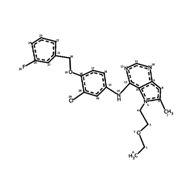 [CH2]COCCn1c(C)cc2ncnc(Nc3ccc(OCc4cccc(F)c4)c(Cl)c3)c21